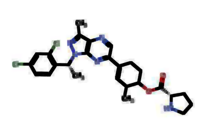 Cc1nn([C@H](C)c2ccc(Cl)cc2Cl)c2nc(C3=CC(C)C(OC(=O)[C@@H]4CCCN4)CC3)cnc12